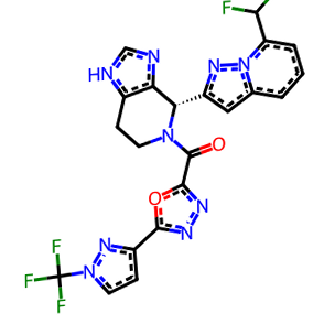 O=C(c1nnc(-c2ccn(C(F)(F)F)n2)o1)N1CCc2[nH]cnc2[C@@H]1c1cc2cccc(C(F)F)n2n1